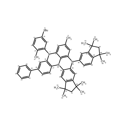 Cc1cc2c3c(c1)N(c1cc(C(C)(C)C)ccc1C)c1cc(-c4ccccc4)ccc1B3c1cc3c(cc1N2c1ccc2c(c1)C(C)(C)CC2(C)C)C(C)(C)CC3(C)C